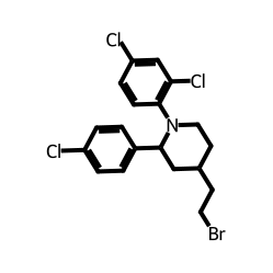 Clc1ccc(C2CC(CCBr)CCN2c2ccc(Cl)cc2Cl)cc1